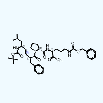 CC(C)C[C@@H](/C=C/[C@H](Cc1ccccc1)C(=O)N1CCC[C@@H]1C(=O)N[C@@H](CCCNC(=O)OCc1ccccc1)C(=O)O)NC(=O)OC(C)(C)C